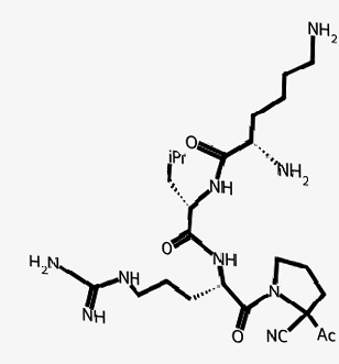 CC(=O)C1(C#N)CCCN1C(=O)[C@H](CCCNC(=N)N)NC(=O)[C@H](CC(C)C)NC(=O)[C@@H](N)CCCCN